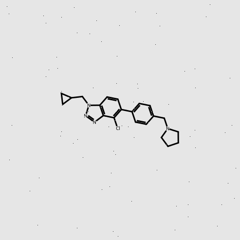 Clc1c(-c2ccc(CN3CCCC3)cc2)ccc2c1nnn2CC1CC1